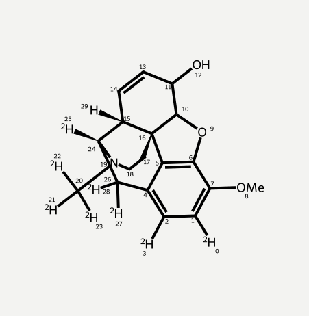 [2H]c1c([2H])c2c3c(c1OC)OC1C(O)C=C[C@@H]4[C@@]31CCN(C([2H])([2H])[2H])[C@]4([2H])C2([2H])[2H]